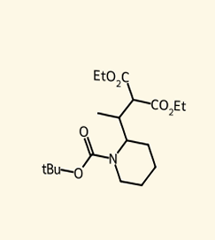 CCOC(=O)C(C(=O)OCC)C(C)C1CCCCN1C(=O)OC(C)(C)C